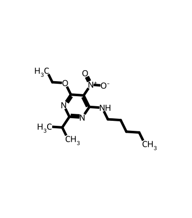 CCCCCNc1nc(C(C)C)nc(OCC)c1[N+](=O)[O-]